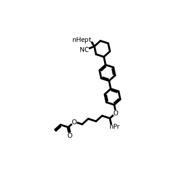 C=CC(=O)OCCCCC(CCC)Oc1ccc(-c2ccc(C3CCCC(C#N)(CCCCCCC)C3)cc2)cc1